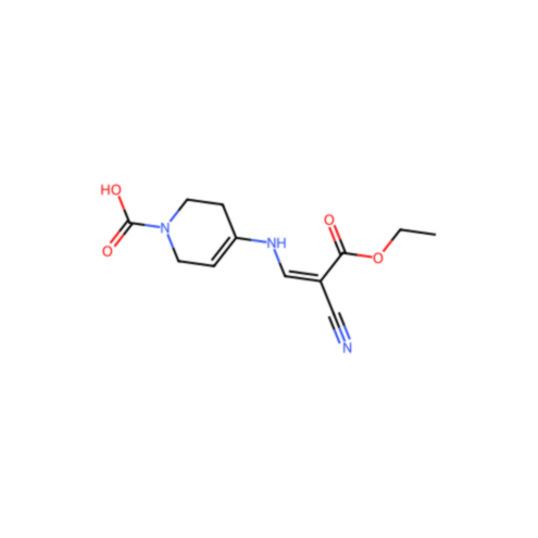 CCOC(=O)C(C#N)=CNC1=CCN(C(=O)O)CC1